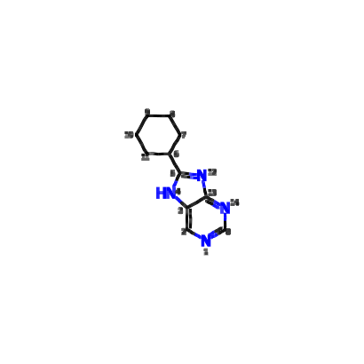 c1ncc2[nH]c(C3CCCCC3)nc2n1